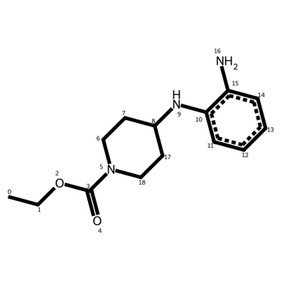 CCOC(=O)N1CCC(Nc2ccccc2N)CC1